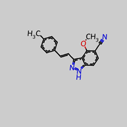 COc1c(C#N)ccc2[nH]nc(C=Cc3ccc(C)cc3)c12